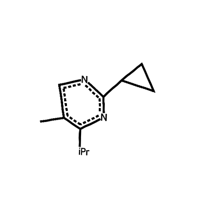 Cc1cnc(C2CC2)nc1C(C)C